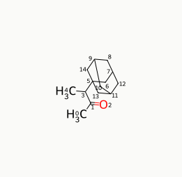 CC(=O)C(C)C12CC3CC(CC(C3)C1)C2